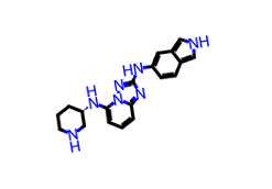 c1cc(N[C@H]2CCCNC2)n2nc(Nc3ccc4c[nH]cc4c3)nc2c1